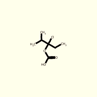 CCC(Cl)(OC(=O)O)C(C)C